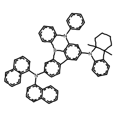 CC12CCCCC1(C)N(c1cc3c4c(c1)N(c1ccccc1)c1ccccc1B4c1cc(N(c4cccc5ccccc45)c4cccc5ccccc45)ccc1-3)c1ccccc12